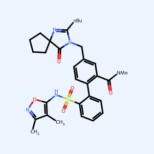 CCCCC1=NC2(CCCC2)C(=O)N1Cc1ccc(-c2ccccc2S(=O)(=O)Nc2onc(C)c2C)c(C(=O)NC)c1